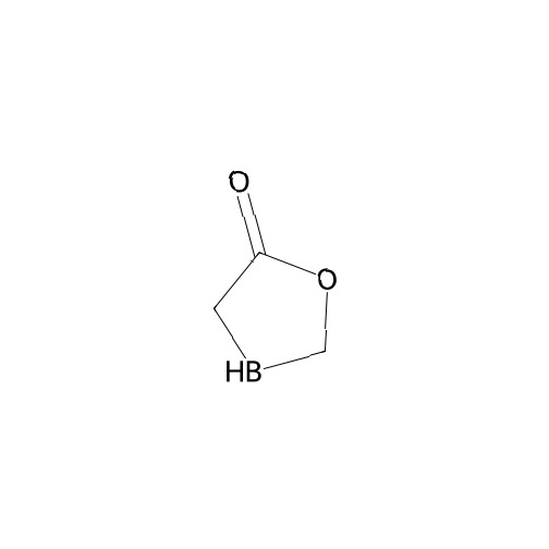 O=C1CBCO1